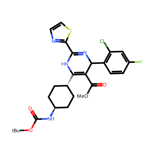 COC(=O)C1=C([C@H]2CC[C@H](NC(=O)OC(C)(C)C)CC2)NC(c2nccs2)=NC1c1ccc(F)cc1Cl